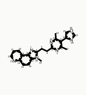 Cc1nc(CCc2nc3c4cccnc4ccc3n2C)nc(C)c1-c1cocn1